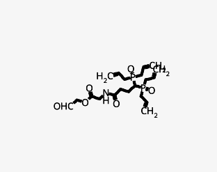 C=CCP(=O)(CC=C)C(CCC(=O)NCC(=O)OCC=O)P(=O)(CC=C)CC=C